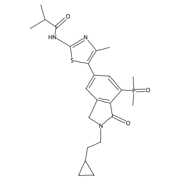 Cc1nc(NC(=O)C(C)C)sc1-c1cc2c(c(P(C)(C)=O)c1)C(=O)N(CCC1CC1)C2